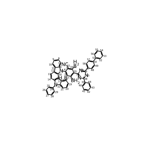 Bc1c(B)c(-n2c3ccccc3c3ccc4c(c5ccccc5n4-c4ccccc4)c32)c(C#N)c(B)c1-c1nc(-c2ccccc2)nc(-c2ccc(-c3ccccc3)cc2)n1